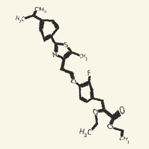 CCOC(=O)C(Cc1ccc(OCCc2nc(-c3ccc(C(C)C)cc3)sc2C)c(F)c1)OCC